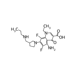 CCCNCC1CCN(c2c(F)c(N)c3c(=O)c(C(=O)O)cn(CC)c3c2F)C1